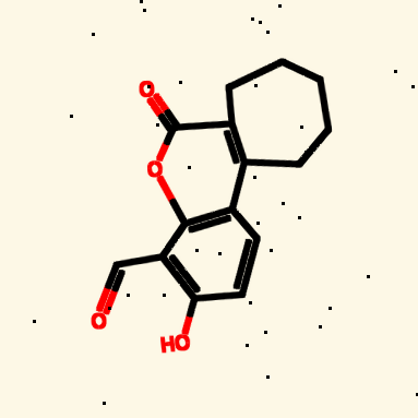 O=Cc1c(O)ccc2c3c(c(=O)oc12)CCCCC3